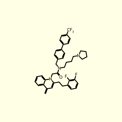 C=C1C=C(CCc2cccc(F)c2F)N(CC(=O)N(CCCCN2CCCC2)Cc2ccc(-c3ccc(C(F)(F)F)cc3)cc2)c2ccccc21